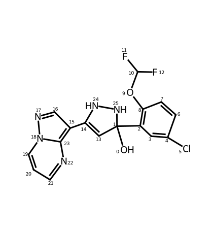 OC1(c2cc(Cl)ccc2OC(F)F)C=C(c2cnn3cccnc23)NN1